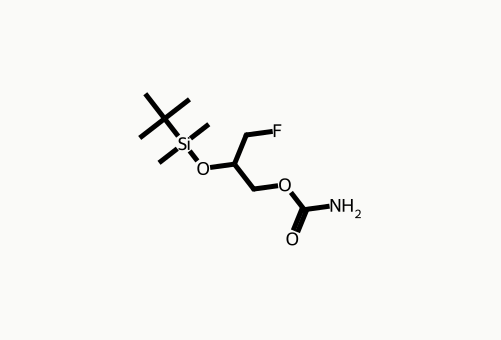 CC(C)(C)[Si](C)(C)OC(CF)COC(N)=O